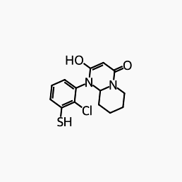 O=C1C=C(O)N(c2cccc(S)c2Cl)C2CCCCN12